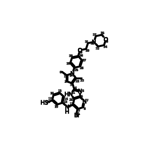 Cc1cc(-c2nc3ncc(Br)c(Nc4cccc(S)c4)c3[nH]2)c(C)n1-c1ccc(OCCN2CCOCC2)cc1